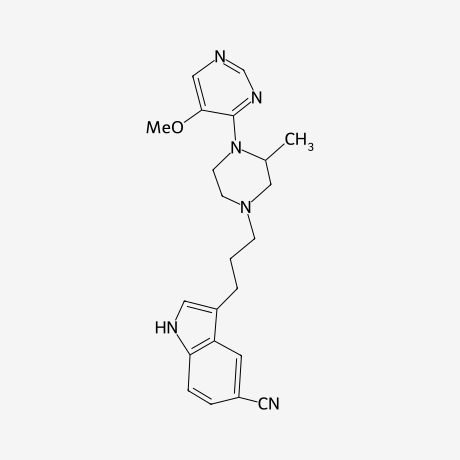 COc1cncnc1N1CCN(CCCc2c[nH]c3ccc(C#N)cc23)CC1C